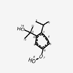 CC(C)c1ccc(OO)cc1C(C)(C)O